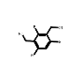 N#CCc1c(Br)cc(Br)c(CC#N)c1F